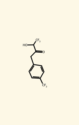 O=C(Cc1ccc(C(F)(F)F)cc1)C(O)C(F)(F)F